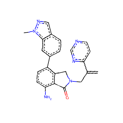 C=C(CN1Cc2c(-c3ccc4cnn(C)c4c3)ccc(N)c2C1=O)c1ccncn1